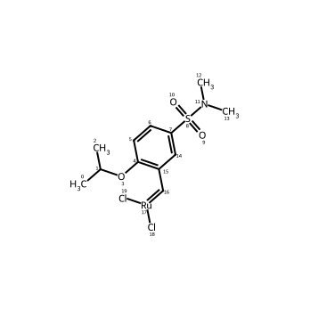 CC(C)Oc1ccc(S(=O)(=O)N(C)C)cc1[CH]=[Ru]([Cl])[Cl]